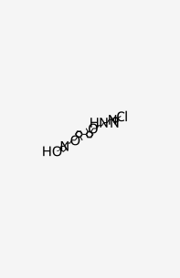 Cc1c(OCCCNCCn2cc(Cl)cn2)cccc1-c1cccc(OCCCN2CC[C@@H](O)C2)c1C